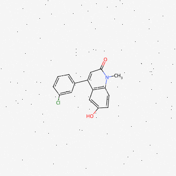 Cn1c(=O)cc(-c2cccc(Cl)c2)c2cc(O)ccc21